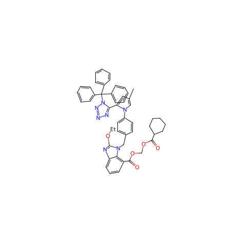 CCOc1nc2cccc(C(=O)OCOC(=O)C3CCCCC3)c2n1Cc1ccc(-n2cc(C)cc2-c2nnnn2C(c2ccccc2)(c2ccccc2)c2ccccc2)cc1